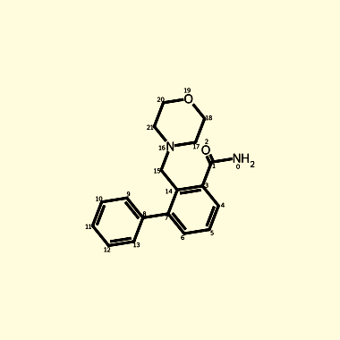 NC(=O)c1cccc(-c2ccccc2)c1CN1CCOCC1